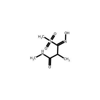 CNC(=O)C(C)C(=NO)S(C)(=O)=O